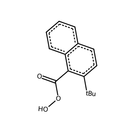 CC(C)(C)c1ccc2ccccc2c1C(=O)OO